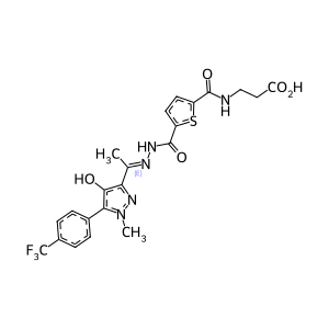 C/C(=N\NC(=O)c1ccc(C(=O)NCCC(=O)O)s1)c1nn(C)c(-c2ccc(C(F)(F)F)cc2)c1O